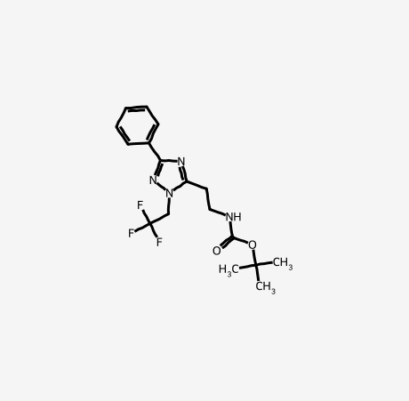 CC(C)(C)OC(=O)NCCc1nc(-c2ccccc2)nn1CC(F)(F)F